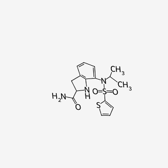 CC(C)N(c1cccc2c1NC(C(N)=O)C2)S(=O)(=O)c1cccs1